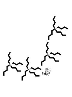 CCCC[N+](CCCC)(CCCC)CCCC.CCCC[N+](CCCC)(CCCC)CCCC.CCCC[N+](CCCC)(CCCC)CCCC.CCCC[N+](CCCC)(CCCC)CCCC.[BH4-].[BH4-].[BH4-].[BH4-]